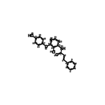 O=C(C=Cc1ccccc1)Nc1ncnc(Oc2ccc(O)cc2)c1Cl